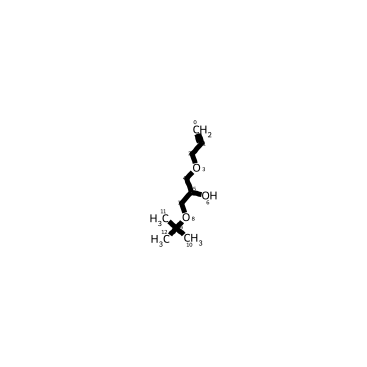 C=CCOCC(O)COC(C)(C)C